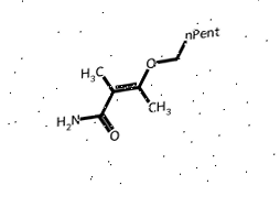 CCCCCCO/C(C)=C(\C)C(N)=O